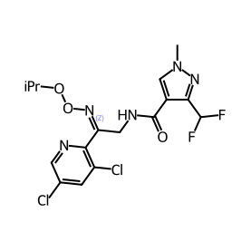 CC(C)OO/N=C(/CNC(=O)c1cn(C)nc1C(F)F)c1ncc(Cl)cc1Cl